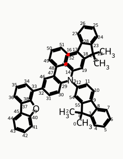 CC1(C)c2ccccc2-c2ccc(N(c3ccc4c(c3)C(C)(C)c3ccccc3-4)c3ccc(-c4cccc5c4oc4ccccc45)cc3-c3ccccc3)cc21